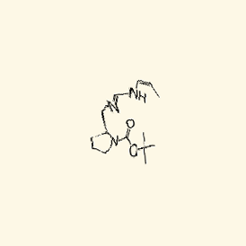 C/C=C\N/C=N/C[C@@H]1CCCN1C(=O)OC(C)(C)C